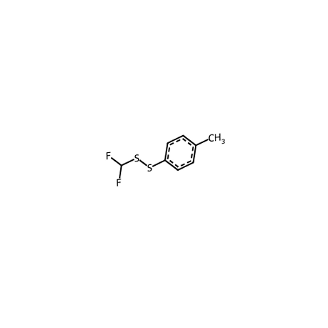 Cc1ccc(SSC(F)F)cc1